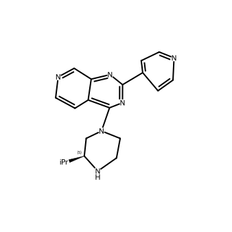 CC(C)[C@H]1CN(c2nc(-c3ccncc3)nc3cnccc23)CCN1